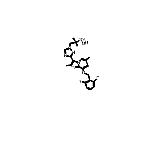 Cc1cc(OCc2c(F)cccc2F)c2nc(C)c(-c3ncn(CC(C)(C)NO)n3)n2c1